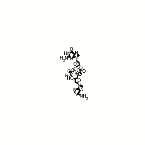 Nc1nc2c(ncn2C2CC(OP(=O)(O)OCC3OC(n4cnc5c(N)ncnc54)CC3O)C(COP(=O)(O)O)O2)c(=O)[nH]1